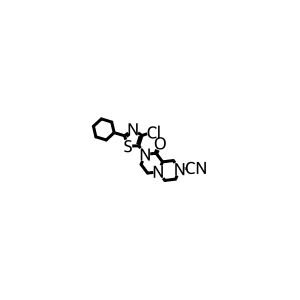 N#CN1CCN2CCN(c3sc(C4CCCCC4)nc3Cl)C(=O)C2C1